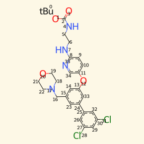 CC(C)(C)OC(=O)NCCNc1ccc(Oc2cc(CN3CCOCC3)cc(-c3cc(Cl)cc(Cl)c3)c2)cn1